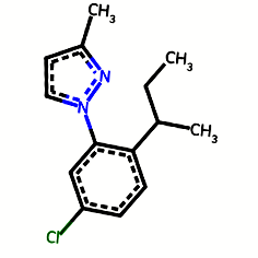 CCC(C)c1ccc(Cl)cc1-n1ccc(C)n1